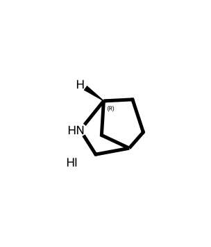 C1C[C@@H]2CC1CN2.I